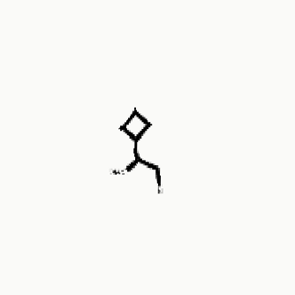 O=CC(CBr)C1CCC1